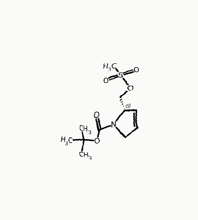 CC(C)(C)OC(=O)N1CC=C[C@H]1COS(C)(=O)=O